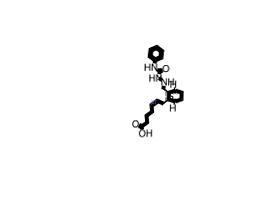 O=C(O)CCC/C=C\C[C@H]1[C@@H](CNNC(=O)Nc2ccccc2)[C@H]2CC[C@@H]1S2